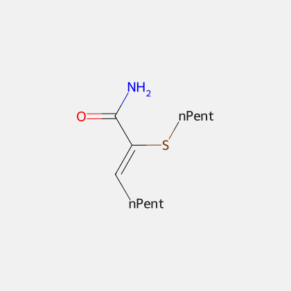 CCCCC/C=C(\SCCCCC)C(N)=O